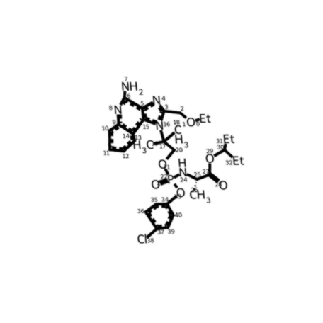 CCOCc1nc2c(N)nc3ccccc3c2n1C(C)(C)COP(=O)(N[C@@H](C)C(=O)OC(CC)CC)Oc1ccc(Cl)cc1